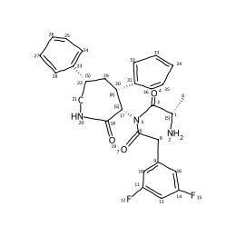 C[C@H](N)C(=O)N(C(=O)Cc1cc(F)cc(F)c1)[C@@H]1C(=O)NC[C@H](c2ccccc2)C[C@@H]1c1ccccc1